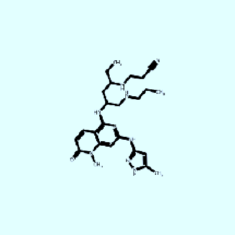 CCCPCC(CC(CC)NCCC#N)Nc1nc(Nc2cc(C)[nH]n2)cc2c1ccc(=O)n2C